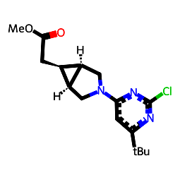 COC(=O)C[C@H]1[C@H]2CN(c3cc(C(C)(C)C)nc(Cl)n3)C[C@@H]12